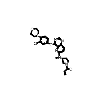 C=CC(=O)N1CC[C@H](N(C)c2ccc3ncnc(Oc4ccc(N5CCOCC5)c(Cl)c4)c3n2)C1